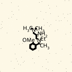 CCN(C[C@@H](N)CN(C)C)[C@@H](C)c1ccccc1OC